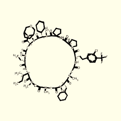 CC[C@H](C)[C@@H]1NC(=O)[C@H](CC)N(C)C(=O)C[C@@H](C(=O)N2C3CCC2COC3)N(C)C(=O)[C@H](C2CCCCC2)N(C)C(=O)C2(CCCC2)NC(=O)[C@@H]2CCCN2C(=O)[C@H](CCc2ccc(C(F)(F)F)c(Cl)c2)NC(=O)CN(C)C(=O)[C@H](CC2CCCCC2)N(C)C(=O)CN(C)C(=O)CN(C)C1=O